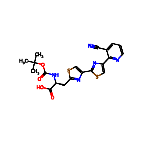 CC(C)(C)OC(=O)N[C@@H](Cc1nc(-c2nc(-c3ncccc3C#N)cs2)cs1)C(=O)O